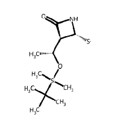 C[C@@H](O[Si](C)(C)C(C)(C)C)[C@H]1C(=O)N[C@@H]1[S]